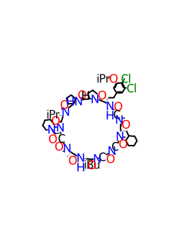 CC[C@H](C)[C@@H]1NC(=O)[C@H](C)N(C)C(=O)C[C@@H](C(=O)N2CCCCC2)N(C)C(=O)[C@H](C(C)C)N(C)C(=O)C2(CCCC2)NC(=O)[C@@H]2CCCN2C(=O)[C@H](CCc2cc(Cl)c(Cl)c(OC(C)C)c2)NC(=O)CN(C)C(=O)[C@H](CC2CCCCC2)N(C)C(=O)CN(C)C(=O)CN(C)C1=O